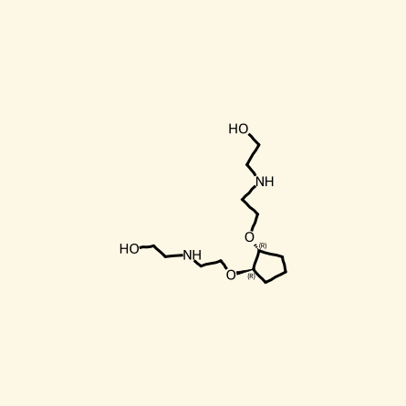 OCCNCCO[C@@H]1CCC[C@H]1OCCNCCO